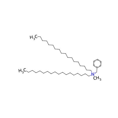 CCCCCCCCCCCCCCCCCC[N+](C)(CCCCCCCCCCCCCCCCCC)Cc1ccccc1